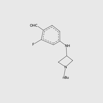 CCCCN1CC(Nc2ccc(C=O)c(F)c2)C1